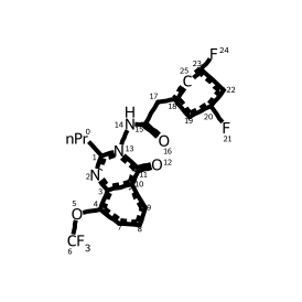 CCCc1nc2c(OC(F)(F)F)cccc2c(=O)n1NC(=O)Cc1cc(F)cc(F)c1